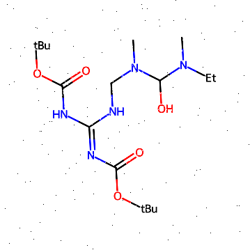 CCN(C)C(O)N(C)CN/C(=N\C(=O)OC(C)(C)C)NC(=O)OC(C)(C)C